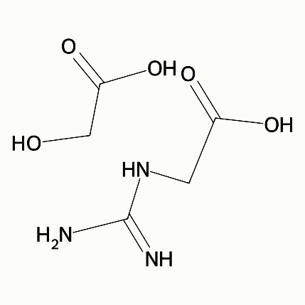 N=C(N)NCC(=O)O.O=C(O)CO